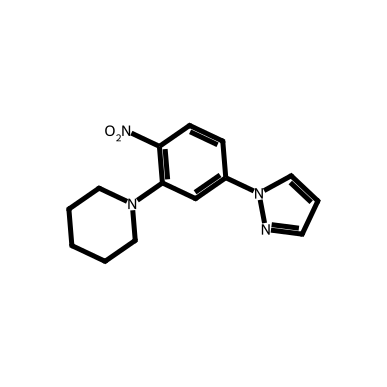 O=[N+]([O-])c1ccc(-n2cccn2)cc1N1CCCCC1